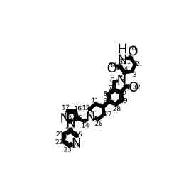 O=C1CCC(N2Cc3cc(C4CCN(Cc5ccnn5-c5cccnc5)CC4)ccc3C2=O)C(=O)N1